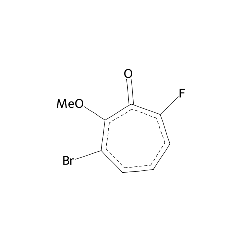 COc1c(Br)cccc(F)c1=O